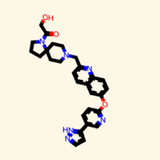 O=C(CO)N1CCCC12CCN(Cc1ccc3cc(Oc4ccc(-c5ccn[nH]5)cn4)ccc3n1)CC2